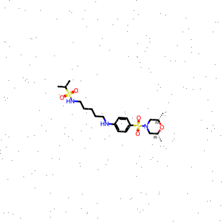 CC(C)S(=O)(=O)NCCCCCNc1ccc(S(=O)(=O)N2C[C@@H](C)O[C@@H](C)C2)cc1